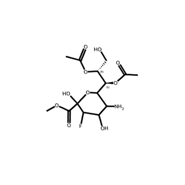 COC(=O)C1(O)OC([C@H](OC(C)=O)[C@@H](CO)OC(C)=O)C(N)C(O)C1F